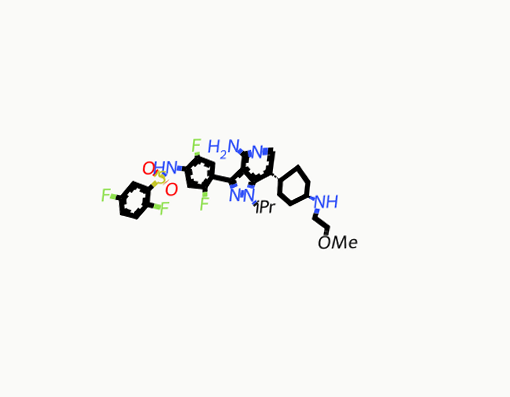 COCCN[C@H]1CC[C@H](c2cnc(N)c3c(-c4cc(F)c(NS(=O)(=O)c5cc(F)ccc5F)cc4F)nn(C(C)C)c32)CC1